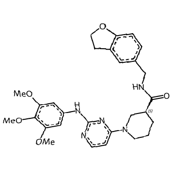 COc1cc(Nc2nccc(N3CCC[C@H](C(=O)NCc4ccc5c(c4)CCO5)C3)n2)cc(OC)c1OC